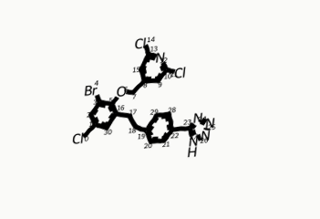 Clc1cc(Br)c(OCc2cc(Cl)nc(Cl)c2)c(CCc2ccc(-c3nnn[nH]3)cc2)c1